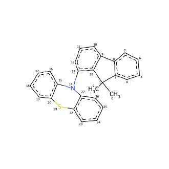 CC1(C)c2ccccc2-c2cccc(N3c4ccccc4Sc4ccccc43)c21